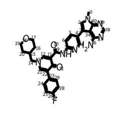 Cn1cc(-c2ccc(NC(=O)c3cn(CC4CCOCC4)cc(-c4ccc(F)cc4)c3=O)nc2)c2c(N)ncnc21